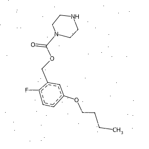 CCCCOc1ccc(F)c(COC(=O)N2CCNCC2)c1